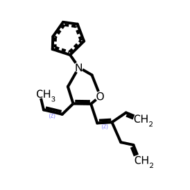 C=CC/C(C=C)=C/C1=C(/C=C\C)CN(c2ccccc2)CO1